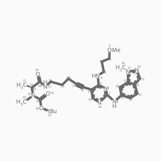 COCCCNc1nc(Nc2ccc3cnn(C)c3c2)ncc1C#CCCCNC(=O)[C@H](C)N(C)C(=O)OC(C)(C)C